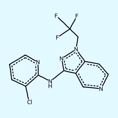 FC(F)(F)Cn1nc(Nc2ncccc2Cl)c2cnccc21